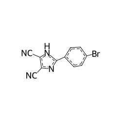 N#Cc1nc(-c2ccc(Br)cc2)[nH]c1C#N